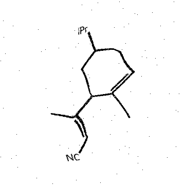 CC(=CC#N)C1CC(C(C)C)CC=C1C